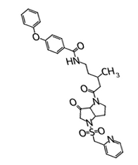 CC(CCNC(=O)c1ccc(Oc2ccccc2)cc1)CC(=O)N1CCC2C1C(=O)CN2S(=O)(=O)Cc1ccccn1